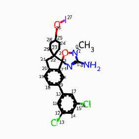 CN1OC2(N=C1N)c1cc(-c3cc(Cl)cc(Cl)c3)ccc1CC21CCC(OI)CC1